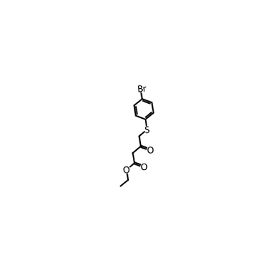 CCOC(=O)CC(=O)CSc1ccc(Br)cc1